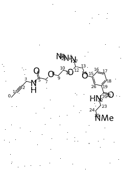 CC#CCNC(=O)COCCOC(COc1cccc(C(=O)NCCNC)c1)N=[N+]=[N-]